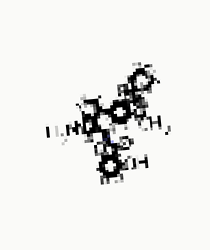 COc1ccc(-c2ccnc3c2c(/C=C2\Oc4cccc(O)c4C2=O)cn3C)cc1S(=O)(=O)N1CCOCC1